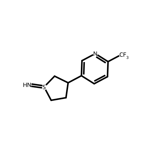 N=S1CCC(c2ccc(C(F)(F)F)nc2)C1